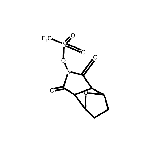 O=C1C2C3CCC(O3)C2C(=O)N1OS(=O)(=O)C(F)(F)F